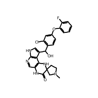 CN1CCC2(C1)Nc1c(cnc3[nH]cc(C(O)c4ccc(Oc5ccccc5F)cc4Cl)c13)NC2=O